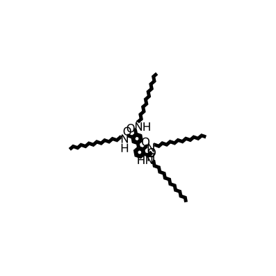 CCCCCCCCCCCCCCNC(=O)c1ccc(-c2cccc(C(=O)NCCCCCCCCCCCCCC)c2C(=O)NCCCCCCCCCCCCCC)cc1C(=O)NCCCCCCCCCCCCCC